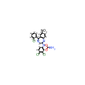 NC(=O)ON(C1=Nc2ccc([N+](=O)[O-])cc2C(c2ccccc2Cl)=NC1)c1ccc(Cl)c(Cl)c1